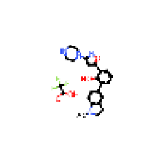 CC(=O)N1CCc2cc(-c3cccc(-c4cc(N5CCNCC5)no4)c3O)ccc21.O=C(O)C(F)(F)F